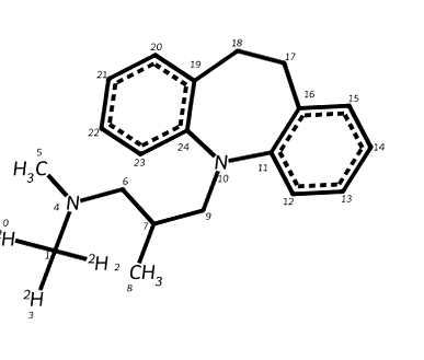 [2H]C([2H])([2H])N(C)CC(C)CN1c2ccccc2CCc2ccccc21